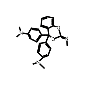 CN=C1Oc2ccccc2C(c2ccc(N(C)C)cc2)(c2ccc(N(C)C)cc2)O1